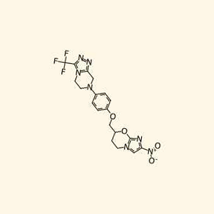 O=[N+]([O-])c1cn2c(n1)OC(COc1ccc(N3CCn4c(nnc4C(F)(F)F)C3)cc1)CC2